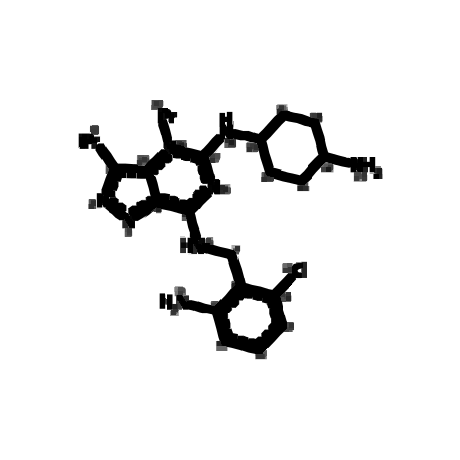 CC(C)c1nnc2c(NCc3c(N)cccc3Cl)nc(NC3CCC(N)CC3)n(C(C)C)c1-2